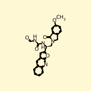 COc1ccc2c(c1)C(=O)N(C[C@H](NC(=O)NC=O)c1cc3cc4ccccc4nc3o1)C2